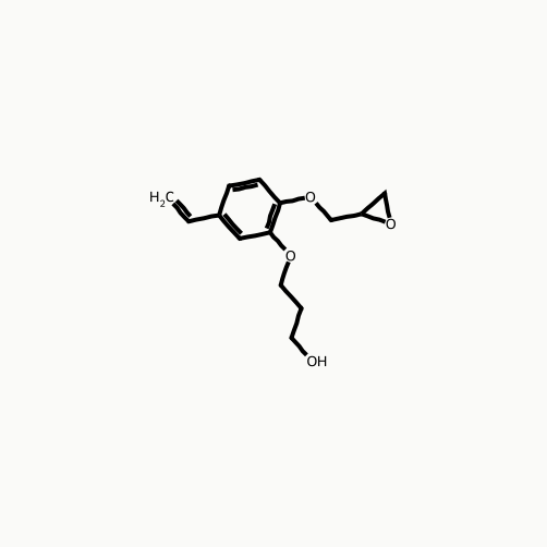 C=Cc1ccc(OCC2CO2)c(OCCCO)c1